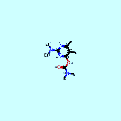 CCN(CC)c1nc(C)c(C)c(OC(=O)N(C)C)n1